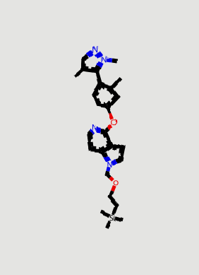 Cc1cc(Oc2nccc3c2ccn3COCC[Si](C)(C)C)ccc1-c1c(C)cnn1C